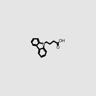 O=C(O)CCCn1c2ccccc2c2ccccc21